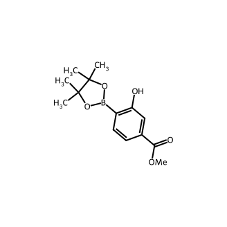 COC(=O)c1ccc(B2OC(C)(C)C(C)(C)O2)c(O)c1